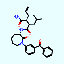 C=CC[C@H](C(N)=O)[C@@H](CC(C)C)C(=O)N[C@H]1CCCCN(c2cccc(C(=O)c3ccccc3)c2)C1=O